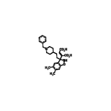 Cc1cc2c(cc1C)C(CCC1CCN(Cc3ccccc3)CC1)(C(=CC(=O)O)C(=O)O)NO2